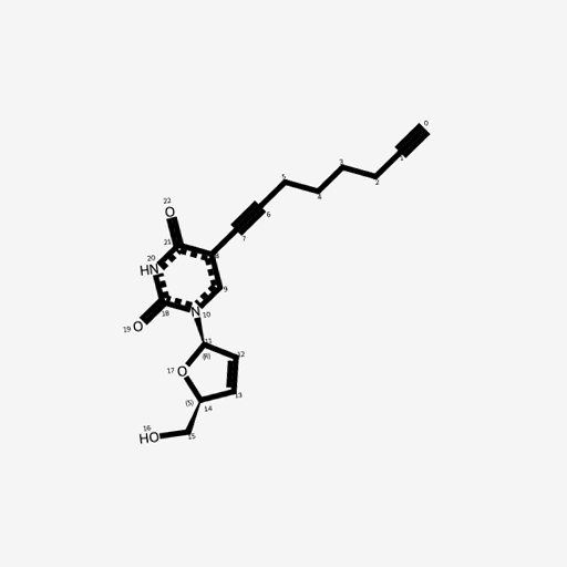 C#CCCCCC#Cc1cn([C@H]2C=C[C@@H](CO)O2)c(=O)[nH]c1=O